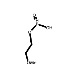 COCCO[PH](=O)O